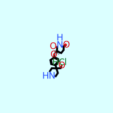 Cl.O=C1CC[C@@H](Oc2ccc3c(c2)OCC32CCNCC2)C(=O)N1